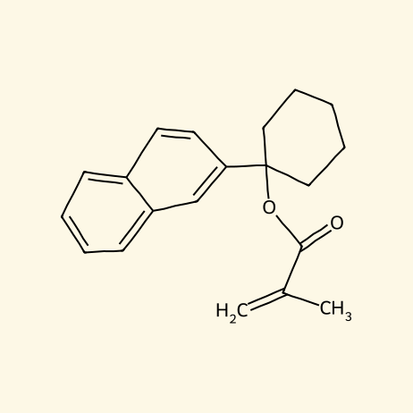 C=C(C)C(=O)OC1(c2ccc3ccccc3c2)CCCCC1